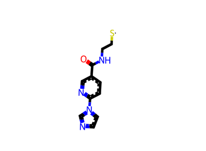 O=C(NCC[S])c1ccc(-n2ccnc2)nc1